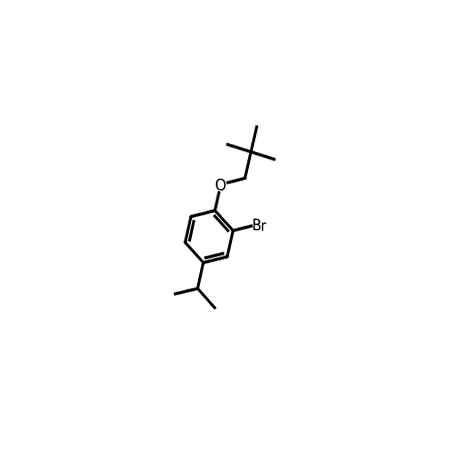 CC(C)c1ccc(OCC(C)(C)C)c(Br)c1